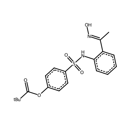 CC(=NO)c1ccccc1NS(=O)(=O)c1ccc(OC(=O)C(C)(C)C)cc1